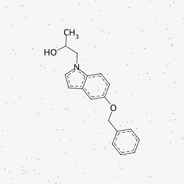 CC(O)Cn1ccc2cc(OCc3ccccc3)ccc21